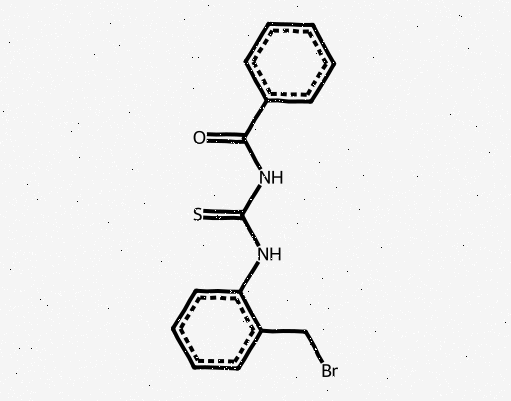 O=C(NC(=S)Nc1ccccc1CBr)c1ccccc1